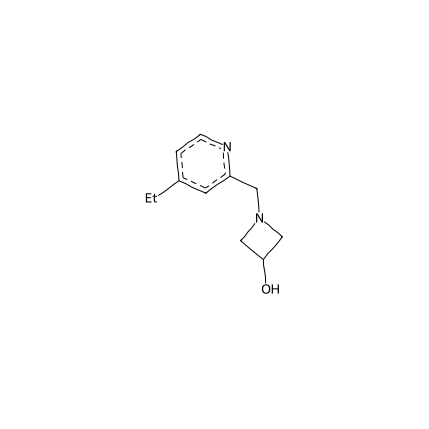 CCc1ccnc(CN2CC(O)C2)c1